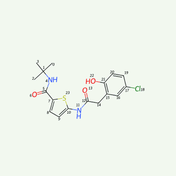 CC(C)(C)NC(=O)c1ccc(NC(=O)Cc2cc(Cl)ccc2O)s1